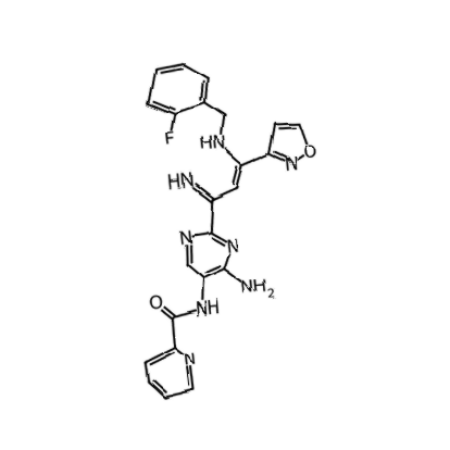 N=C(/C=C(\NCc1ccccc1F)c1ccon1)c1ncc(NC(=O)c2ccccn2)c(N)n1